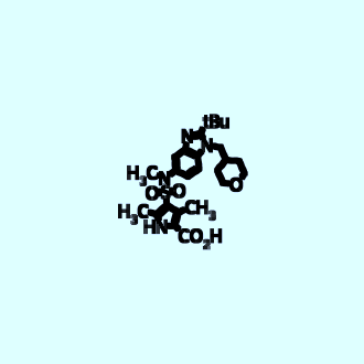 Cc1[nH]c(C(=O)O)c(C)c1S(=O)(=O)N(C)c1ccc2c(c1)nc(C(C)(C)C)n2CC1CCOCC1